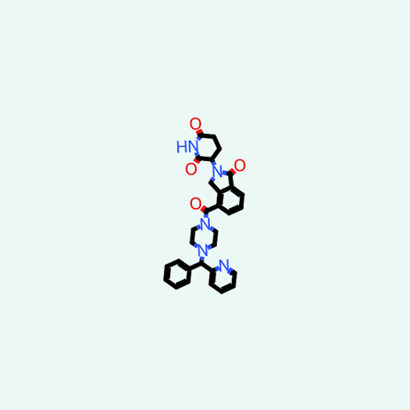 O=C1CCC(N2Cc3c(C(=O)N4CCN(C(c5ccccc5)c5ccccn5)CC4)cccc3C2=O)C(=O)N1